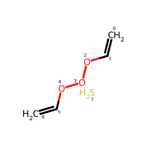 C=COOOC=C.S